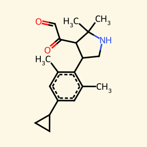 Cc1cc(C2CC2)cc(C)c1C1CNC(C)(C)C1C(=O)C=O